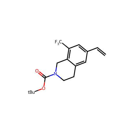 C=Cc1cc2c(c(C(F)(F)F)c1)CN(C(=O)OC(C)(C)C)CC2